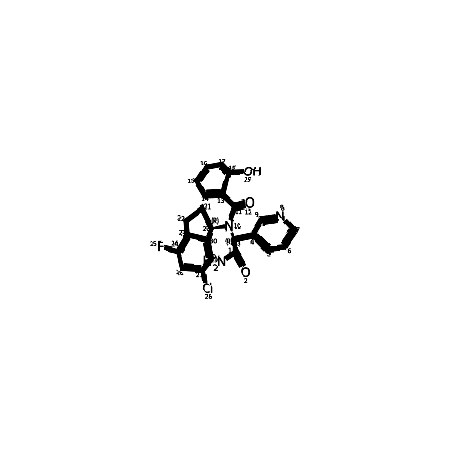 NC(=O)[C@@H](c1cccnc1)N(C(=O)c1ccccc1O)[C@@H]1CCc2c(F)cc(Cl)cc21